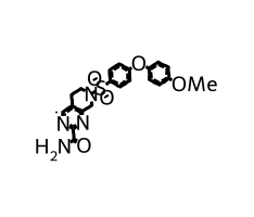 COc1ccc(Oc2ccc(S(=O)(=O)N3CCc4[c]nc(C(N)=O)nc4C3)cc2)cc1